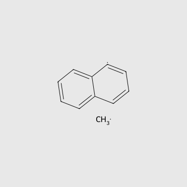 [CH3].[c]1cccc2ccccc12